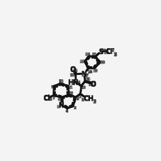 CC(c1ccnc2c(Cl)cccc12)C1NC(=O)N(c2ccc(SC(F)(F)F)cc2)C1=O